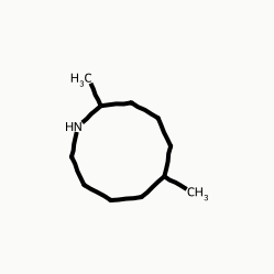 CC1CCCCNC(C)CCC1